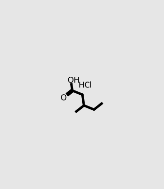 CCC(C)CC(=O)O.Cl